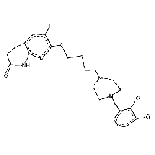 O=C1CCc2cc(F)c(OCCCCN3CCN(c4cccc(Cl)c4Cl)CC3)nc2N1